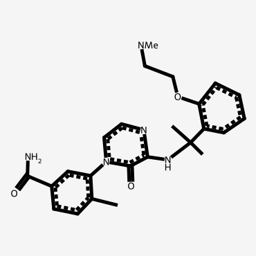 CNCCOc1ccccc1C(C)(C)Nc1nccn(-c2cc(C(N)=O)ccc2C)c1=O